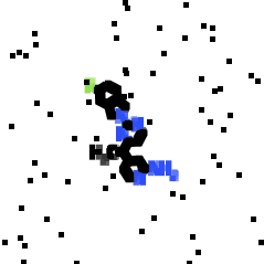 C=C(c1ccnc(N)c1)c1ccnc(N2Cc3ccc(F)cc3C2)n1